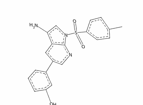 Cc1ccc(S(=O)(=O)n2cc(N)c3cc(-c4cccc(O)c4)cnc32)cc1